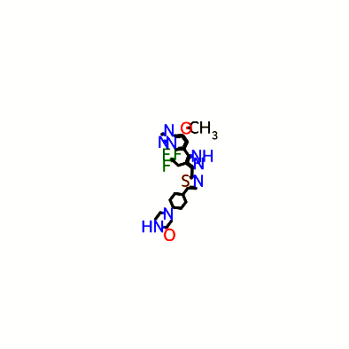 COc1cc(-c2[nH]nc(-c3ncc(C4CCC(N5CCNC(=O)C5)CC4)s3)c2CC(F)(F)F)cn2ncnc12